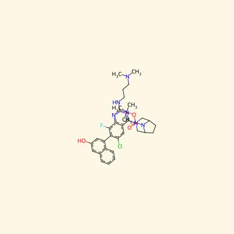 CN(C)CCCNc1nc(N2CC3CCC(C2)N3C(=O)OC(C)(C)C)c2cc(Cl)c(-c3cc(O)cc4ccccc34)c(F)c2n1